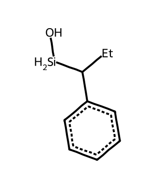 CCC([SiH2]O)c1ccccc1